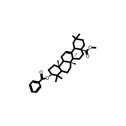 COC(=O)[C@]12CCC(C)(C)CC1C1=CCC3[C@@]4(C)CC[C@H](OC(=O)c5ccccc5)C(C)(C)C4CC[C@@]3(C)[C@]1(C)CC2